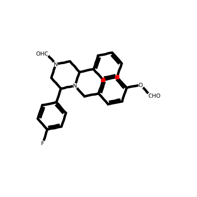 O=COc1ccc(CN2C(c3ccccc3)CN(C=O)CC2c2ccc(F)cc2)cc1